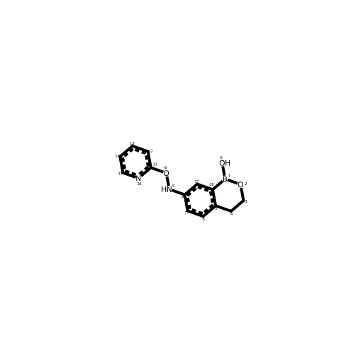 OB1OCCc2ccc(NOc3ccccn3)cc21